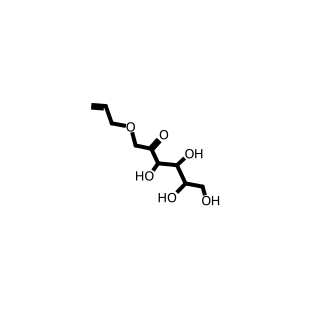 C=CCOCC(=O)C(O)C(O)C(O)CO